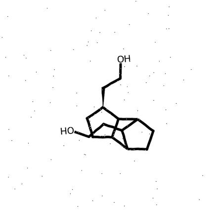 OCCC1C2CCC1C1C2CC[C@H]1CCO